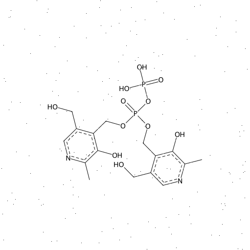 Cc1ncc(CO)c(COP(=O)(OCc2c(CO)cnc(C)c2O)OP(=O)(O)O)c1O